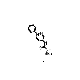 CCCCNC(=S)N=c1ccn(-c2ccccc2)nc1